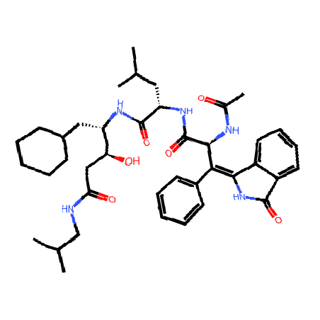 CC(=O)N[C@H](C(=O)N[C@@H](CC(C)C)C(=O)N[C@@H](CC1CCCCC1)[C@@H](O)CC(=O)NCC(C)C)C(=C1NC(=O)c2ccccc21)c1ccccc1